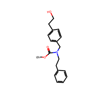 CC(C)(C)OC(=O)N(CCc1ccccc1)Cc1ccc(CCO)cc1